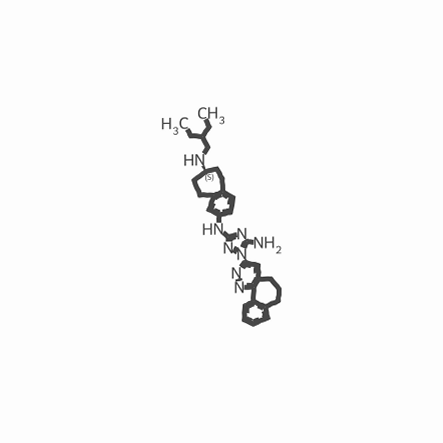 CCC(CC)CN[C@H]1CCc2ccc(Nc3nc(N)n(-c4cc5c(nn4)-c4ccccc4CCC5)n3)cc2CC1